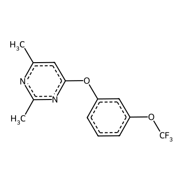 Cc1cc(Oc2cccc(OC(F)(F)F)c2)nc(C)n1